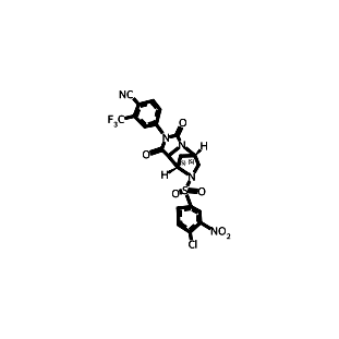 N#Cc1ccc(N2C(=O)C3[C@@H]4C[C@@H](CN4S(=O)(=O)c4ccc(Cl)c([N+](=O)[O-])c4)N3C2=O)cc1C(F)(F)F